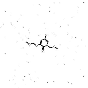 COCOc1cc(Br)cn(COC)c1=O